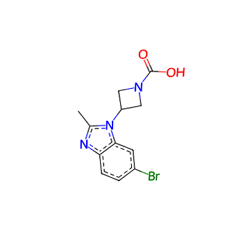 Cc1nc2ccc(Br)cc2n1C1CN(C(=O)O)C1